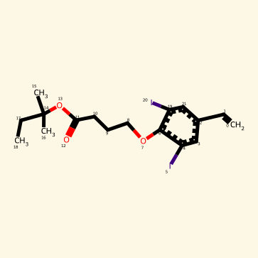 C=Cc1cc(I)c(OCCCC(=O)OC(C)(C)CC)c(I)c1